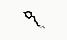 CCCCCC1CCC(F)CC1